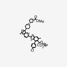 COC(=O)N1CC[C@@H](N2CCC(c3nn(C)c4ccc(-c5nc6cc(C)c(C(OC(C)(C)C)C(=O)O)c(-c7ccc(Cl)cc7)c6s5)nc34)CC2)C1